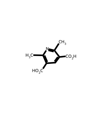 Cc1nc(C)c(C(=O)O)cc1C(=O)O